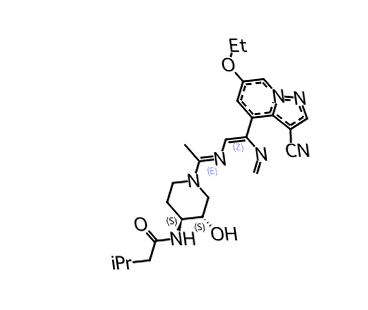 C=N/C(=C\N=C(/C)N1CC[C@H](NC(=O)CC(C)C)[C@@H](O)C1)c1cc(OCC)cn2ncc(C#N)c12